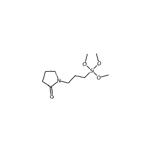 CO[Si](CCCN1CCCC1=O)(OC)OC